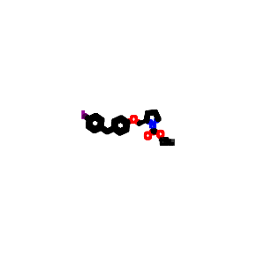 CC(C)(C)OC(=O)N1CCC[C@@H]1COc1ccc(Cc2ccc(I)cc2)cc1